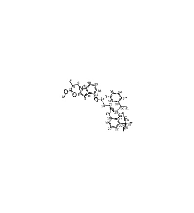 COC(=O)C(C)Cn1ccc2c(OCCCN(Cc3cccc(C(F)(F)F)c3Cl)CC(C)c3ccccc3)cccc21